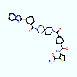 NC(=O)c1sccc1NC(=O)c1ccc(C(=O)N2CCC3(CC2)CCN(C(=O)c2cccc(-c4cn5ccccc5n4)c2)CC3)cc1